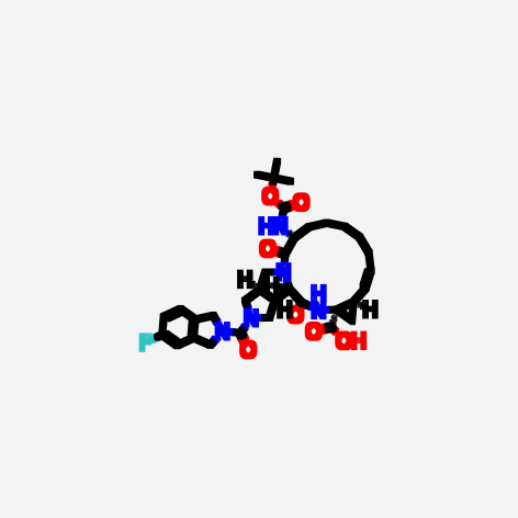 CC(C)(C)OC(=O)N[C@@H]1CCCCC/C=C\[C@H]2C[C@@]2(C(=O)O)NC(=O)[C@@H]2[C@H]3CN(C(=O)N4Cc5ccc(F)cc5C4)C[C@H]3CN2C1=O